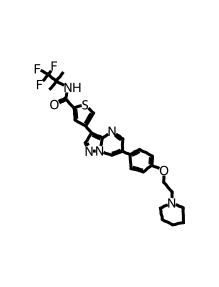 CC(C)(NC(=O)c1cc(-c2cnn3cc(-c4ccc(OCCN5CCCCC5)cc4)cnc23)cs1)C(F)(F)F